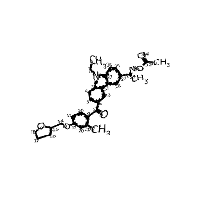 CCn1c2ccc(C(=O)c3ccc(OCC4CCCO4)cc3C)cc2c2cc(C(C)=NOC(C)=O)ccc21